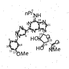 CCCNc1nc(-c2cn(-c3cccc(OC)c3)nn2)nc2c1ncn2[C@@H]1O[C@H](C(=O)NC)[C@@H](O)[C@H]1O